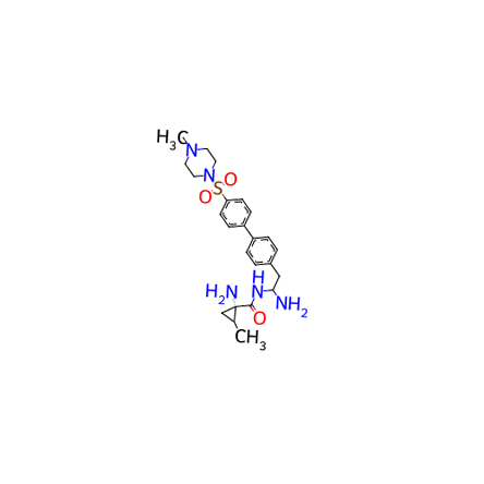 CC1C[C@@]1(N)C(=O)NC(N)Cc1ccc(-c2ccc(S(=O)(=O)N3CCN(C)CC3)cc2)cc1